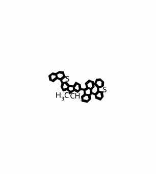 CC1(C)c2cc(-c3c4ccccc4c(-c4cccc5sc6ccccc6c45)c4ccccc34)ccc2-c2c1ccc1c2sc2ccc3ccccc3c21